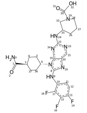 NC(=O)[C@H]1CC[C@H](n2c(Nc3ccc(F)c(F)c3F)nc3cnc(NC4CCCN(C(=O)O)C4)nc32)CC1